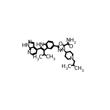 CC(C)CN1CCC(N2N=C(c3ccc4[nH]c(-c5ccnc6[nH]ncc56)c(C(C)C)c4c3)OC2C(N)=O)CC1